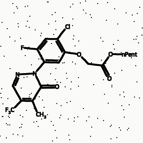 CCCCCOC(=O)COc1cc(-n2ncc(C(F)(F)F)c(C)c2=O)c(F)cc1Cl